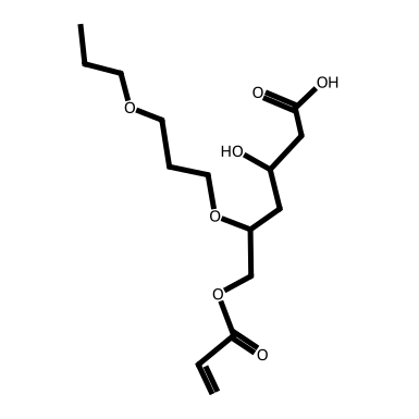 C=CC(=O)OCC(CC(O)CC(=O)O)OCCCOCCC